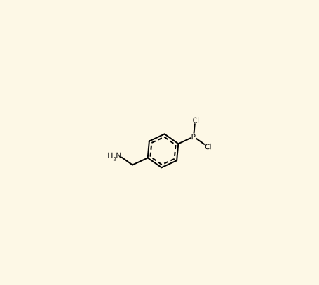 NCc1ccc(P(Cl)Cl)cc1